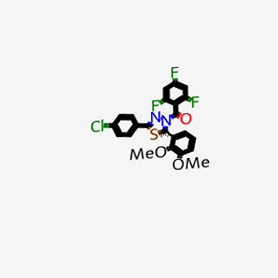 COc1cccc([C@H]2SC(c3ccc(Cl)cc3)=NN2C(=O)c2c(F)cc(F)cc2F)c1OC